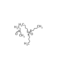 CCCCSP(=O)(SCCCC)SCCCC.CCN(C=O)CC